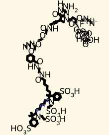 CC1(CCCCCC(=O)NCCNC(=O)C2=CC(OCC(N=[N+]=[N-])OCCOCC(=O)NCC#CC3CN([C@H]4CC(O[C@H](F)N=[N+]=[N-])[C@@H](CO[PH](=O)O[PH](=O)O[PH](=O)O)O4)c4nc(N)[nH]c(=O)c43)CCC2)/C(=C/C=C/C=C/C2N(CCS(=O)(=O)O)C3=C(C=C(S(=O)(=O)O)CC3)C2(C)C)N(CCS(=O)(=O)O)c2ccc(S(=O)(=O)O)cc21